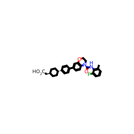 Cc1cccc(F)c1NC(=O)N1CCOc2cc(-c3ccc([C@H]4CC[C@H](CC(=O)O)CC4)cc3)ccc21